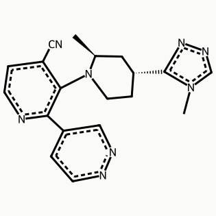 C[C@H]1C[C@H](c2nncn2C)CCN1c1c(C#N)ccnc1-c1ccnnc1